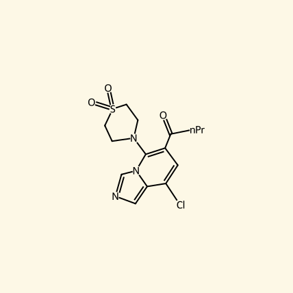 CCCC(=O)c1cc(Cl)c2cncn2c1N1CCS(=O)(=O)CC1